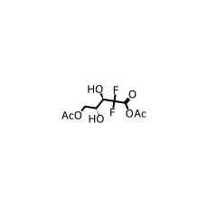 CC(=O)OC[C@@H](O)[C@@H](O)C(F)(F)C(=O)OC(C)=O